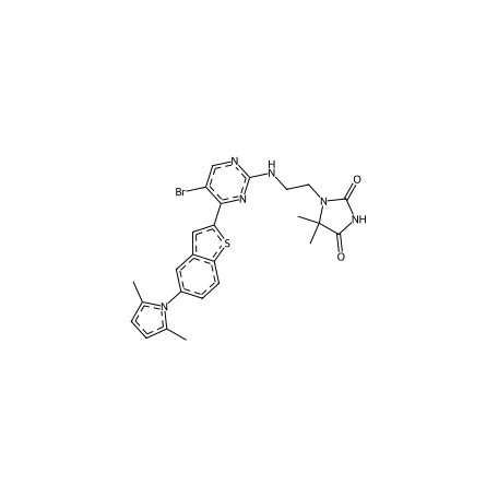 Cc1ccc(C)n1-c1ccc2sc(-c3nc(NCCN4C(=O)NC(=O)C4(C)C)ncc3Br)cc2c1